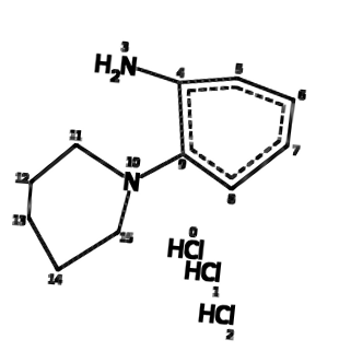 Cl.Cl.Cl.Nc1ccccc1N1CCCCC1